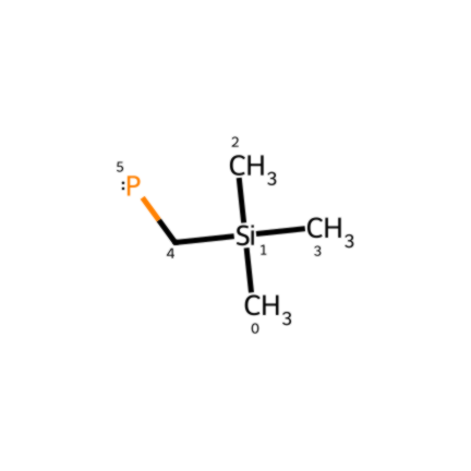 C[Si](C)(C)C[P]